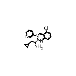 NC(CC1CC1)[C@@H]1N=c2cccc(Cl)c2=CN1c1cccnc1